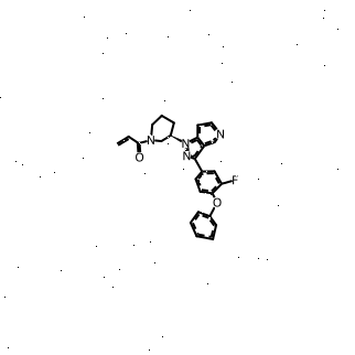 C=CC(=O)N1CCC[C@@H](n2nc(-c3ccc(Oc4ccccc4)c(F)c3)c3cnccc32)C1